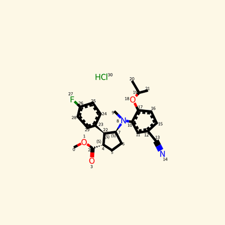 COC(=O)[C@H]1CC[C@H](N(C)c2cc(C#N)ccc2OC(C)C)[C@@H]1c1ccc(F)cc1.Cl